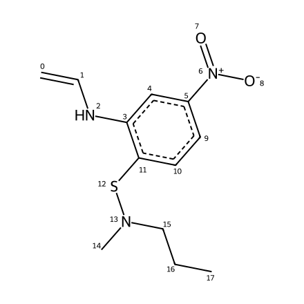 C=CNc1cc([N+](=O)[O-])ccc1SN(C)CCC